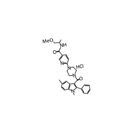 COCC(C)NC(=O)c1ccc(N2CCN(C(=O)c3c(-c4ccccc4)n(C)c4ccc(C)cc34)CC2)nc1.Cl